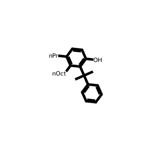 CCCCCCCCc1c(CCC)ccc(O)c1C(C)(C)c1ccccc1